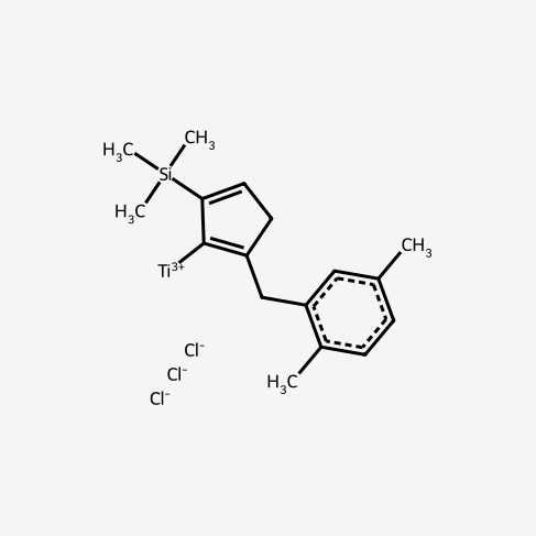 Cc1ccc(C)c(CC2=[C]([Ti+3])C([Si](C)(C)C)=CC2)c1.[Cl-].[Cl-].[Cl-]